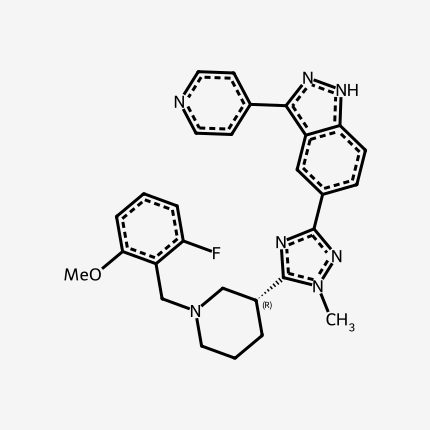 COc1cccc(F)c1CN1CCC[C@@H](c2nc(-c3ccc4[nH]nc(-c5ccncc5)c4c3)nn2C)C1